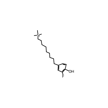 C[Si](C)(C)CCCCCCCCCc1ccc(O)c(F)c1